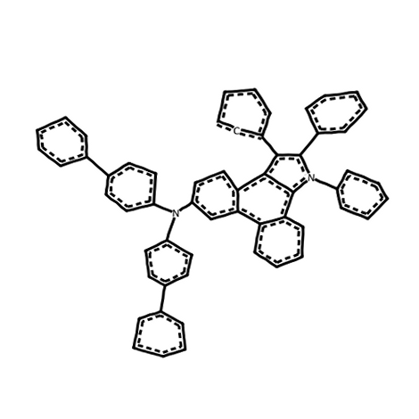 c1ccc(-c2ccc(N(c3ccc(-c4ccccc4)cc3)c3ccc4c(c3)c3ccccc3c3c4c(-c4ccccc4)c(-c4ccccc4)n3-c3ccccc3)cc2)cc1